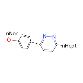 CCCCCCCCCOc1ccc(-c2ccc(CCCCCCC)nn2)cc1